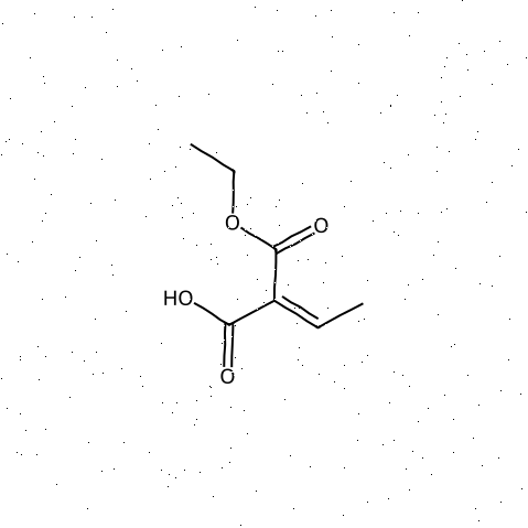 CC=C(C(=O)O)C(=O)OCC